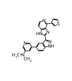 CN(C)c1cncc(-c2ccc3[nH]nc(-c4nc5c(-c6ccsc6)nccc5[nH]4)c3c2)c1